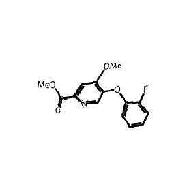 COC(=O)c1cc(OC)c(Oc2ccccc2F)cn1